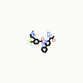 CC(=O)C(N)c1ccc(-c2ccccc2)c(NC(=O)c2cc(-c3ccn(C)n3)c(C(F)(F)F)cc2F)n1